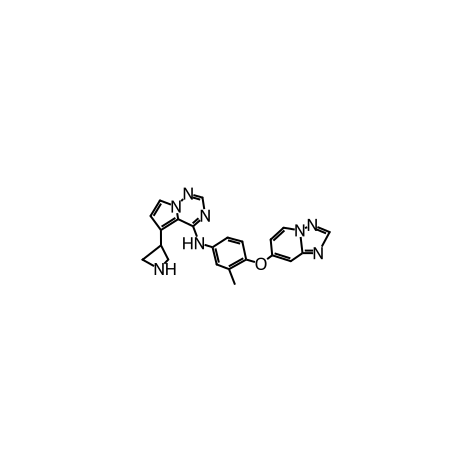 Cc1cc(Nc2ncnn3ccc(C4CNC4)c23)ccc1Oc1ccn2ncnc2c1